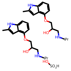 Cc1cc2c(OCC(O)CNC(C)C)cccc2[nH]1.Cc1cc2c(OCC(O)CNC(C)C)cccc2[nH]1.O=S(=O)(O)O